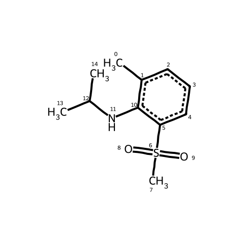 Cc1cccc(S(C)(=O)=O)c1NC(C)C